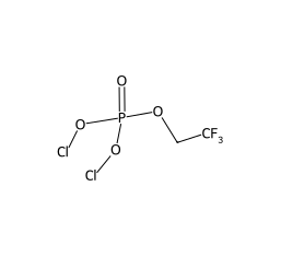 O=P(OCl)(OCl)OCC(F)(F)F